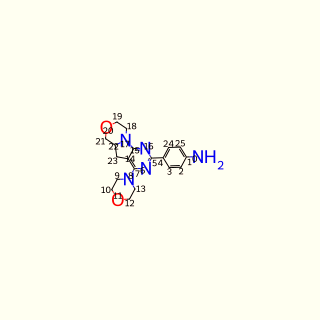 Nc1ccc(-c2nc(N3CCOCC3)c3c(n2)N2CCOCC2C3)cc1